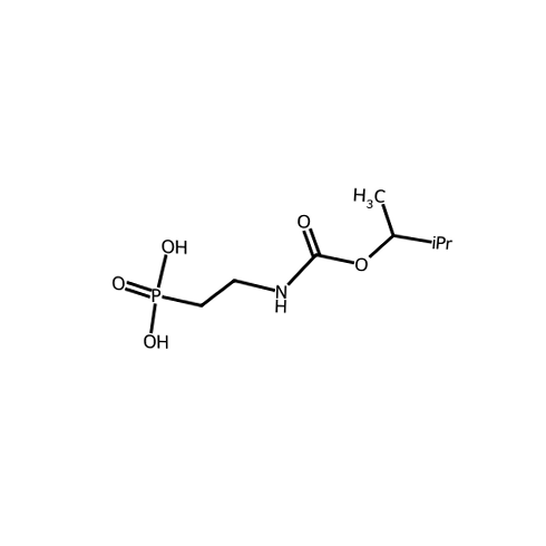 CC(C)C(C)OC(=O)NCCP(=O)(O)O